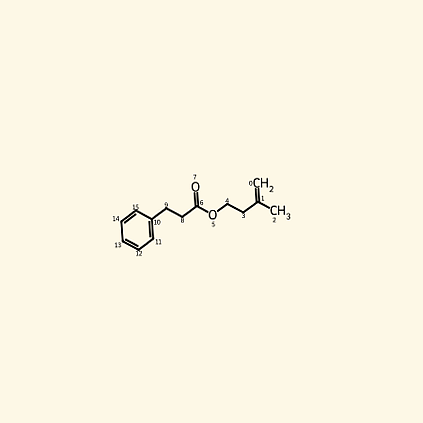 C=C(C)CCOC(=O)CCc1ccccc1